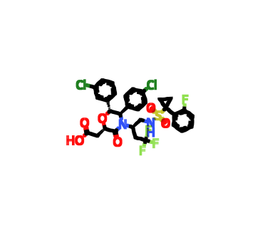 O=C(O)C[C@H]1O[C@H](c2cccc(Cl)c2)[C@@H](c2ccc(Cl)cc2)N([C@@H](CNS(=O)(=O)C2(c3ccccc3F)CC2)CC(F)(F)F)C1=O